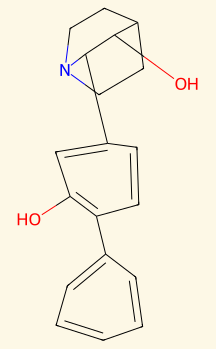 Oc1cc(C2C(O)C3CCN2CC3)ccc1-c1ccccc1